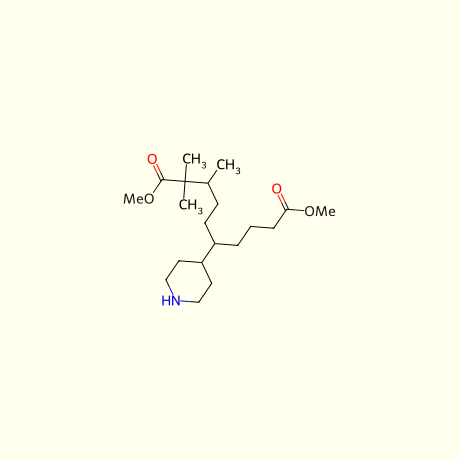 COC(=O)CCCC(CCC(C)C(C)(C)C(=O)OC)C1CCNCC1